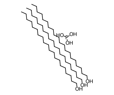 CCCCCCCCCCCCCCCCCCCCO.CCCCCCCCCCCCCCCCCCCCO.CCCCCCCCCCCCCCCCCCCCO.OP(O)O